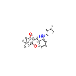 CC(C)CCNc1ccccc1[C]=C1C(=O)CC(C)(C)CC1=O